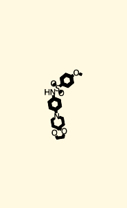 COc1ccc(S(=O)(=O)Nc2ccc(N3CCC4(CC3)OCCO4)cc2)cc1